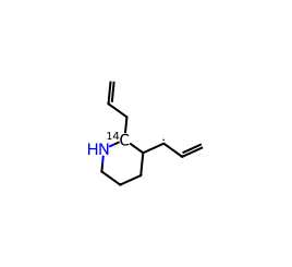 C=C[CH]C1CCCN[14CH]1CC=C